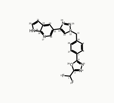 FC(F)c1nnc(-c2ccc(Cn3cc(-c4cnc5[nH]ccc5c4)nn3)cc2)o1